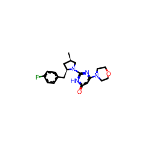 C[C@@H]1C[C@H](Cc2ccc(F)cc2)N(c2nc(N3CCOCC3)cc(=O)[nH]2)C1